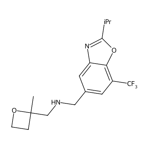 CC(C)c1nc2cc(CNCC3(C)CCO3)cc(C(F)(F)F)c2o1